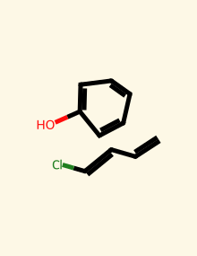 C=CC=CCl.Oc1ccccc1